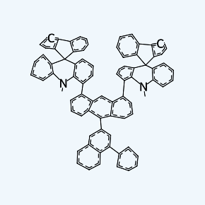 CN1c2ccccc2C2(c3ccccc3-c3ccccc32)c2cccc(-c3cccc4c(-c5cc(-c6ccccc6)c6ccccc6c5)c5cccc(-c6cccc7c6N(C)c6ccccc6C76c7ccccc7-c7ccccc76)c5cc34)c21